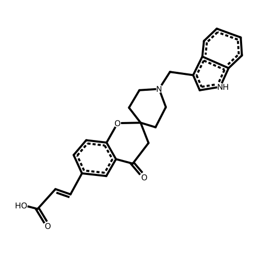 O=C(O)C=Cc1ccc2c(c1)C(=O)CC1(CCN(Cc3c[nH]c4ccccc34)CC1)O2